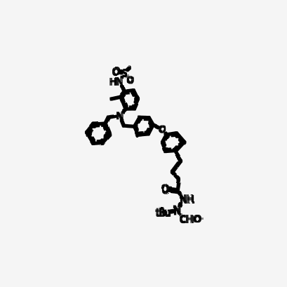 Cc1c(NS(C)(=O)=O)cccc1N(Cc1ccccc1)Cc1ccc(Oc2ccc(CCCC(=O)NN([C]=O)C(C)(C)C)cc2)cc1